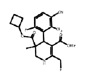 COC(=O)C1=C(CF)NCC(C)(C(=O)OC2CCC2)C1c1c(F)ccc(C#N)c1C(F)(F)F